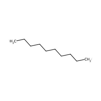 [CH2]CCCCCCCC[CH2]